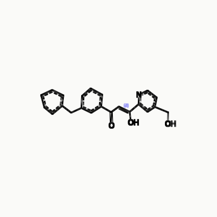 O=C(/C=C(\O)c1cc(CO)ccn1)c1cccc(Cc2ccccc2)c1